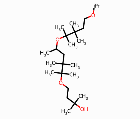 CC(C)OCCC(C)(C)C(C)(C)OC(C)CC(C)(C)C(C)(C)OCCC(C)(C)O